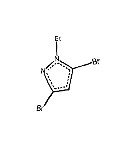 CCn1nc(Br)cc1Br